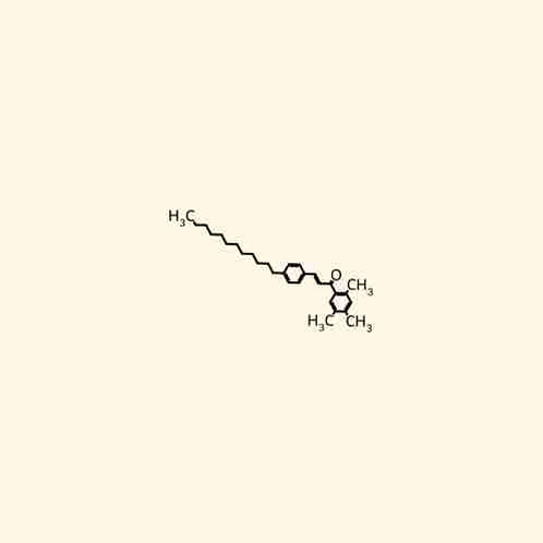 CCCCCCCCCCCCc1ccc(C=CC(=O)c2cc(C)c(C)cc2C)cc1